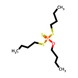 CCCCOP(=S)(SCCCC)SCCCC